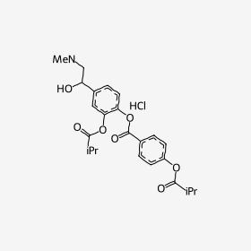 CNCC(O)c1ccc(OC(=O)c2ccc(OC(=O)C(C)C)cc2)c(OC(=O)C(C)C)c1.Cl